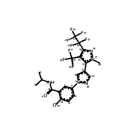 CC(C)NC(=O)c1cc(-n2cc(-c3c(C(F)(F)F)c(C(F)(F)C(F)(F)F)nn3C)cn2)ccc1Cl